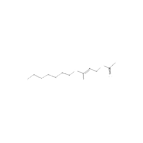 CCCCCCCSC(F)=CCOC(C)=O